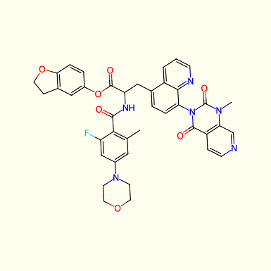 Cc1cc(N2CCOCC2)cc(F)c1C(=O)NC(Cc1ccc(-n2c(=O)c3ccncc3n(C)c2=O)c2ncccc12)C(=O)Oc1ccc2c(c1)CCO2